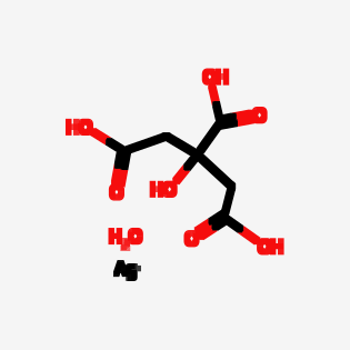 O.O=C(O)CC(O)(CC(=O)O)C(=O)O.[Ag]